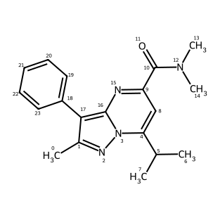 Cc1nn2c(C(C)C)cc(C(=O)N(C)C)nc2c1-c1ccccc1